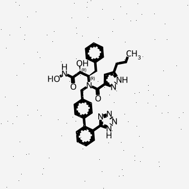 CCCc1cc(C(=O)N(Cc2ccc(-c3ccccc3-c3nnn[nH]3)cc2)[C@H](Cc2ccccc2)[C@@H](O)C(=O)NO)n[nH]1